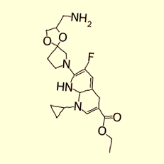 CCOC(=O)C1=CN(C2CC2)C2NC(N3CCC4(C3)OCC(CN)O4)=C(F)C=C2C1